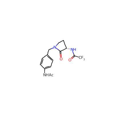 CC(=O)Nc1ccc(CN2CC[C@H](NC(=O)C(F)(F)F)C2=O)cc1